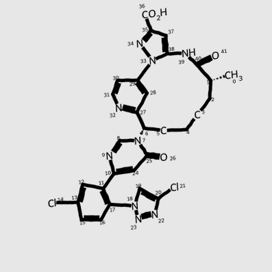 C[C@@H]1CCCC[C@H](n2cnc(-c3cc(Cl)ccc3-n3cc(Cl)nn3)cc2=O)c2cc(ccn2)-n2nc(C(=O)O)cc2NC1=O